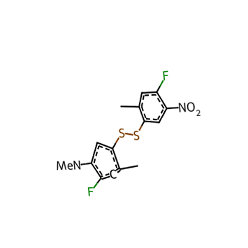 CNc1cc(SSc2cc([N+](=O)[O-])c(F)cc2C)c(C)cc1F